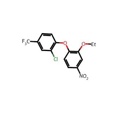 CCOc1cc([N+](=O)[O-])ccc1Oc1ccc(C(F)(F)F)cc1Cl